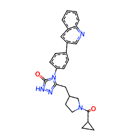 O=C(C1CC1)N1CCC(Cc2n[nH]c(=O)n2-c2ccc(-c3cnc4ccccc4c3)cc2)C1